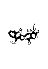 CCCCc1c2c([n+]([O-])c3ccccc13)-c1cc3c(c(=O)n1C2)COC(=O)[C@]3(O)CC